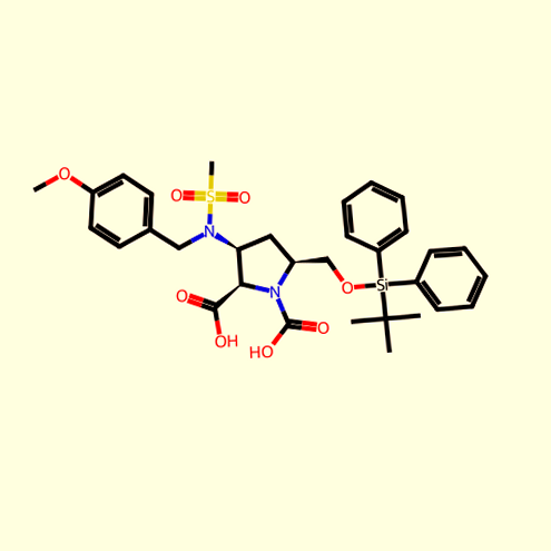 COc1ccc(CN([C@H]2C[C@@H](CO[Si](c3ccccc3)(c3ccccc3)C(C)(C)C)N(C(=O)O)[C@H]2C(=O)O)S(C)(=O)=O)cc1